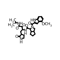 COc1cccc2[nH]c(C(=O)N3CC4CCCC4C3C(=O)NC(CC3CCNC3=O)C(=O)C(=O)NC(C)C)cc12